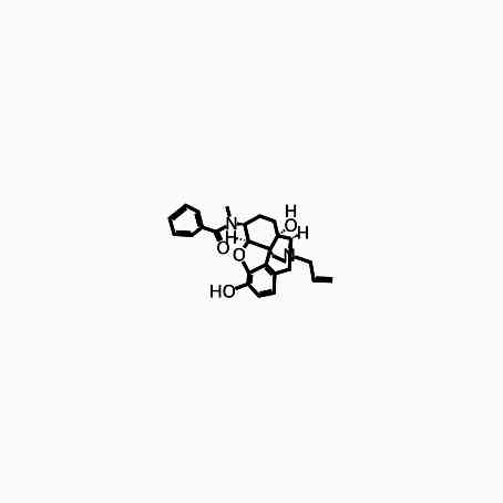 C=CCN1CC[C@]23c4c5ccc(O)c4O[C@H]2[C@@H](N(C)C(=O)c2ccccc2)CC[C@@]3(O)[C@H]1C5